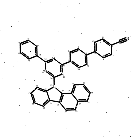 N#Cc1ccc(-c2ccc(-c3nc(-c4ccccc4)nc(-n4c5ccccc5c5ccc6ccccc6c54)n3)cc2)cc1